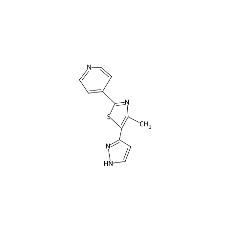 Cc1nc(-c2ccncc2)sc1-c1cc[nH]n1